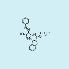 CCOC(=O)OC1N=C2C(N=Nc3ccccc3)C(O)=NN2C2c3ccccc3CC12